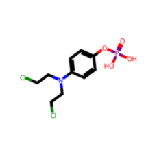 O=P(O)(O)Oc1ccc(N(CCCl)CCCl)cc1